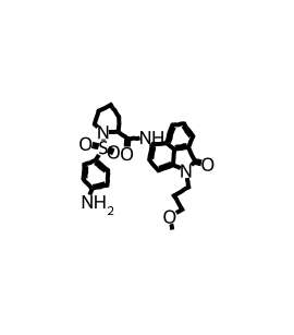 COCCCN1C(=O)c2cccc3c(NC(=O)C4CCCCN4S(=O)(=O)c4ccc(N)cc4)ccc1c23